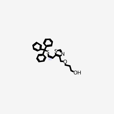 OCCCOCc1ncsc1/C=C\SC(c1ccccc1)(c1ccccc1)c1ccccc1